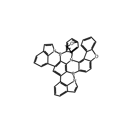 c1cc2c3c(c1)ccn3B1c3ccc4oc5ccccc5c4c3N3c4c1c-2cc1c4B(c2ccc4oc5ccccc5c4c23)n2ccc3cccc-1c32